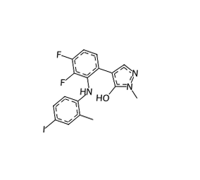 Cc1cc(I)ccc1Nc1c(-c2cnn(C)c2O)ccc(F)c1F